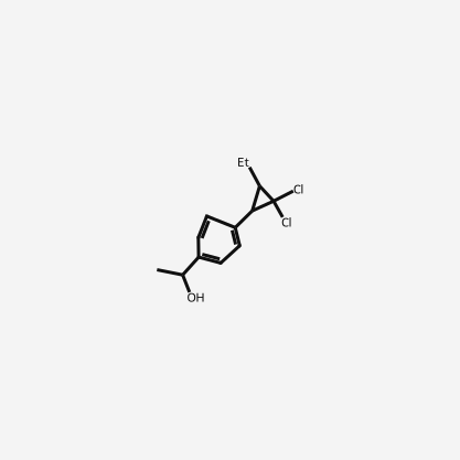 CCC1C(c2ccc(C(C)O)cc2)C1(Cl)Cl